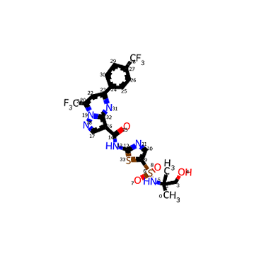 CC(C)(CO)NS(=O)(=O)c1cnc(NC(=O)c2cnn3c(C(F)(F)F)cc(-c4ccc(C(F)(F)F)cc4)nc23)s1